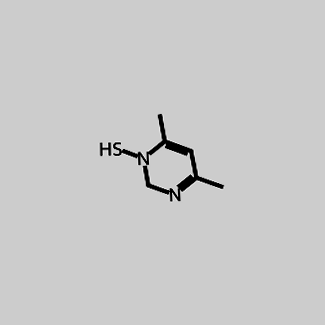 CC1=CC(C)=NCN1S